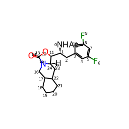 CC(=O)N[C@@H](Cc1cc(F)cc(F)c1)[C@@H]1OC(=O)N2CC3CCCCC3C[C@@H]12